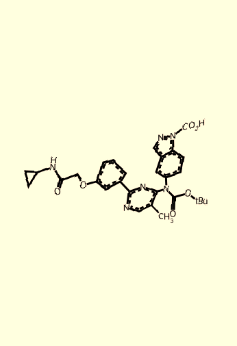 Cc1cnc(-c2cccc(OCC(=O)NC3CC3)c2)nc1N(C(=O)OC(C)(C)C)c1ccc2c(cnn2C(=O)O)c1